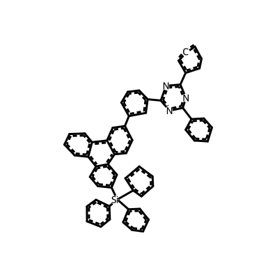 c1ccc(-c2nc(-c3ccccc3)nc(-c3cccc(-c4ccc5c(c4)c4ccccc4c4ccc([Si](c6ccccc6)(c6ccccc6)c6ccccc6)cc45)c3)n2)cc1